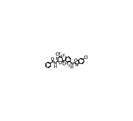 C[C@@]1(c2cc(Nc3nc4ccc(Cl)cc4o3)ccc2F)C[C@@H](C(F)(F)F)N=C(NC(=O)c2ccccc2)O1